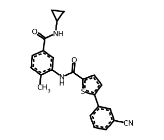 Cc1ccc(C(=O)NC2CC2)cc1NC(=O)c1ccc(-c2cccc(C#N)c2)s1